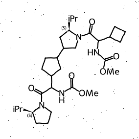 COC(=O)NC(C(=O)N1CCC[C@H]1C(C)C)C1CCC(C2C[C@@H](C(C)C)N(C(=O)C(NC(=O)OC)C3CCC3)C2)C1